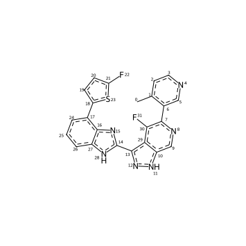 Cc1ccncc1-c1ncc2[nH]nc(-c3nc4c(-c5ccc(F)s5)cccc4[nH]3)c2c1F